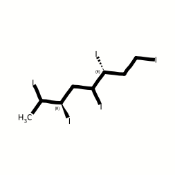 CC(I)[C@H](I)CC(I)[C@H](I)CCI